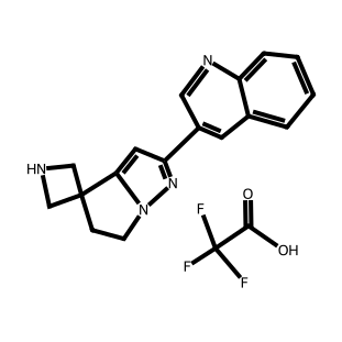 O=C(O)C(F)(F)F.c1ccc2ncc(-c3cc4n(n3)CCC43CNC3)cc2c1